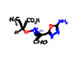 CCC(C)(O/N=C(\[C]=O)c1nnc(N)o1)C(=O)O